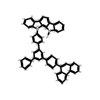 In1c2ccccc2c2ccc3c4ccccc4n(-c4ccc(-c5cc(-c6ccccc6)cc(-c6ccc(-c7cc8ccccc8c8ccccc78)cc6)c5)cc4)c3c21